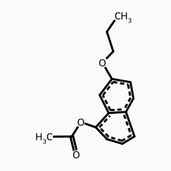 CCCOc1ccc2cccc(OC(C)=O)c2c1